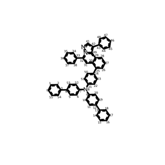 c1ccc(-c2ccc(N(c3ccc(-c4ccccc4)cc3)c3ccc(-c4cccc5c4cc(-c4ccccc4)n4ncc(-c6ccccc6)c54)cc3)cc2)cc1